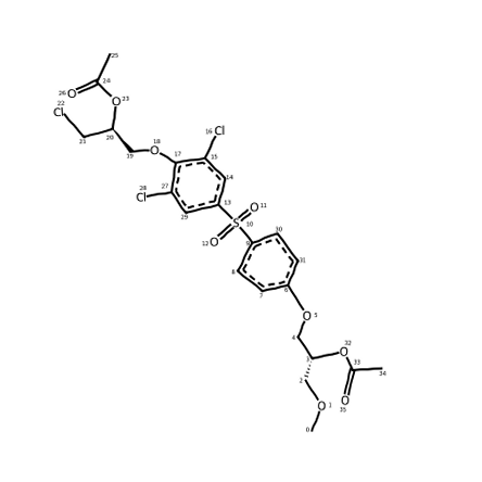 COC[C@H](COc1ccc(S(=O)(=O)c2cc(Cl)c(OC[C@@H](CCl)OC(C)=O)c(Cl)c2)cc1)OC(C)=O